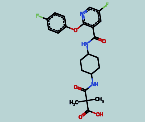 CC(C)(C(=O)O)C(=O)NC1CCC(NC(=O)c2cc(F)cnc2Oc2ccc(F)cc2)CC1